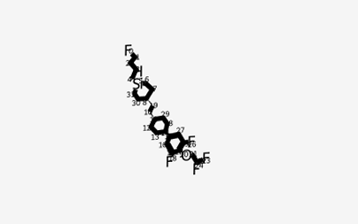 FCCCC[Si@H]1CC[C@H](CC[C@H]2CC[C@H](c3cc(F)c(OCC(F)F)c(F)c3)CC2)CC1